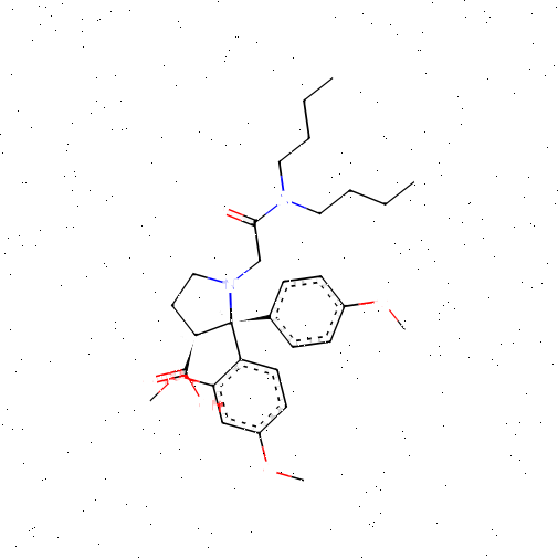 CCCCN(CCCC)C(=O)CN1CC[C@H](C(=O)O)[C@@]1(c1ccc(OC)cc1)c1ccc(OC)cc1OC